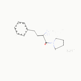 CC(=O)N[C@H]1C[C@@H](C(=O)O)N(C(=O)C(N)CCc2ccccc2)C1